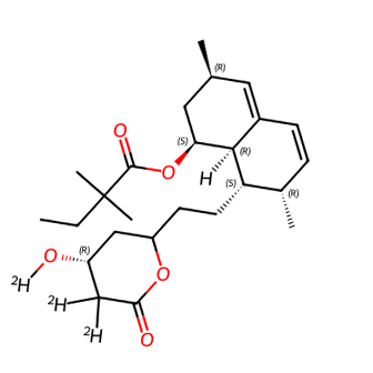 [2H]O[C@@H]1CC(CC[C@@H]2[C@@H]3C(=C[C@H](C)C[C@@H]3OC(=O)C(C)(C)CC)C=C[C@@H]2C)OC(=O)C1([2H])[2H]